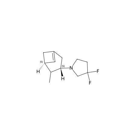 CC1[C@@H]2C=C(C2)C[C@@H]1N1CCC(F)(F)C1